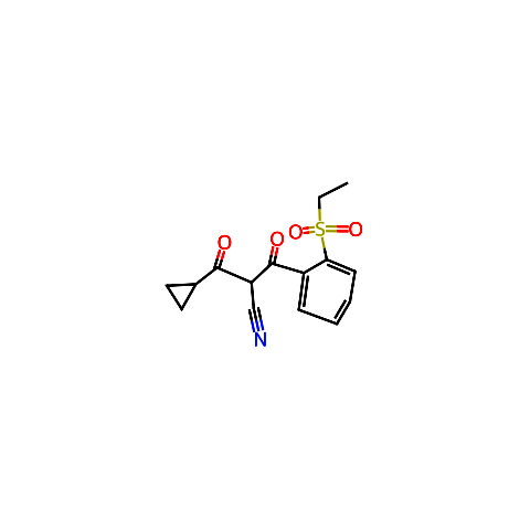 CCS(=O)(=O)c1ccccc1C(=O)C(C#N)C(=O)C1CC1